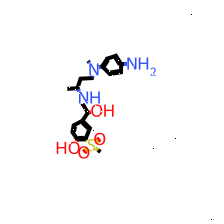 CC(CCN(C)c1ccc(N)cc1)NCC(O)c1ccc(O)c(S(C)(=O)=O)c1